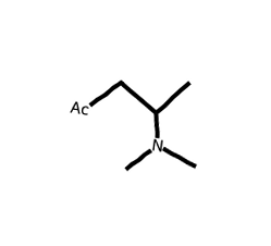 CC(=O)CC(C)N(C)C